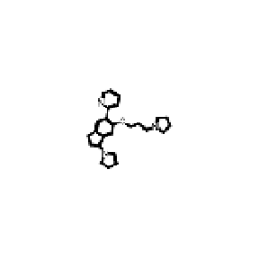 c1ccc(-c2cc3c(cc2OCCCN2CCCC2)C(N2CCCC2)CC3)nc1